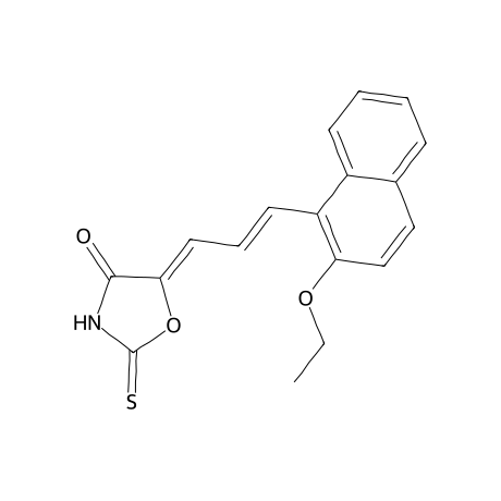 CCOc1ccc2ccccc2c1C=CC=C1OC(=S)NC1=O